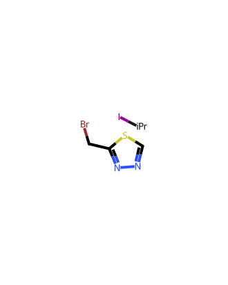 BrCc1nncs1.CC(C)I